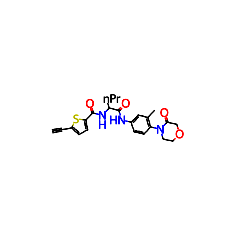 C#Cc1ccc(C(=O)NC(CCC)C(=O)Nc2ccc(N3CCOCC3=O)c(C)c2)s1